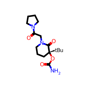 CC(C)(C)[C@@]1(OC(N)=O)CCCN(CC(=O)N2CCCC2)C1=O